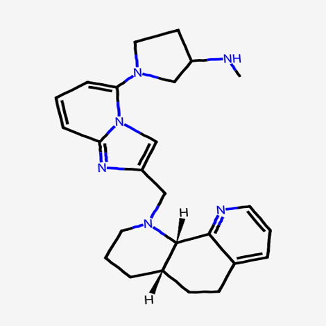 CNC1CCN(c2cccc3nc(CN4CCC[C@H]5CCc6cccnc6[C@H]54)cn23)C1